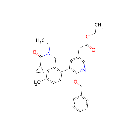 CCOC(=O)Cc1cnc(OCc2ccccc2)c(-c2ccc(C)cc2CN(CC)C(=O)C2CC2)c1